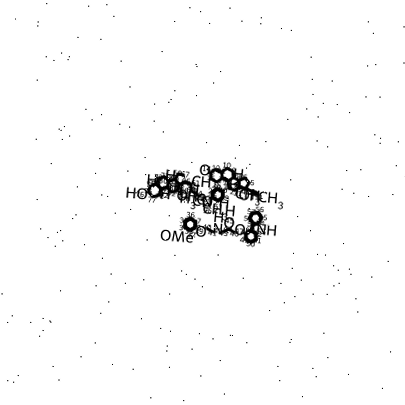 CC#C[C@]1(O)CC[C@H]2[C@@H]3CCC4=CC(=O)CCC4=C3[C@@H](c3ccc(N(C)C)cc3)C[C@@]21C.COc1ccccc1OCCNCC(O)COc1cccc2[nH]c3ccccc3c12.C[C@H](CCC(=O)O)[C@H]1CC[C@H]2[C@@H]3CC[C@@H]4C[C@H](O)CC[C@]4(C)[C@H]3C[C@H](O)[C@]12C